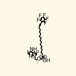 C[C@H](Cn1cnc2c(N)ncnc21)OCP(=O)(O)OCCCCCCCCCCCCCCC#Cc1c(F)c(F)c(F)c(F)c1F